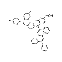 Cc1ccc(C(=Cc2ccc(N(c3ccc(CO)cc3C)c3ccc(C=C(c4ccccc4)c4ccccc4)c4ccccc34)cc2)c2ccc(C)cc2)cc1